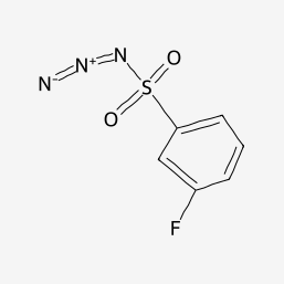 [N-]=[N+]=NS(=O)(=O)c1cccc(F)c1